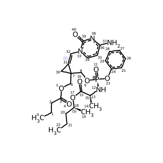 CCCC(=O)OCC1(CO[P@@](=O)(N[C@@H](C)C(=O)O[C@@H](C)CCC)Oc2ccccc2)C/C1=C/n1ccc(N)nc1=O